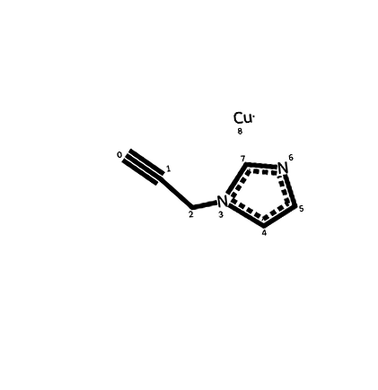 C#CCn1ccnc1.[Cu]